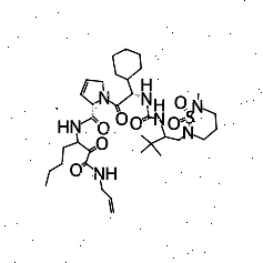 C=CCNC(=O)C(=O)C(CCCC)NC(=O)[C@@H]1C=CCN1C(=O)[C@@H](NC(=O)NC(CN1CCCN(C)S1(=O)=O)C(C)(C)C)C1CCCCC1